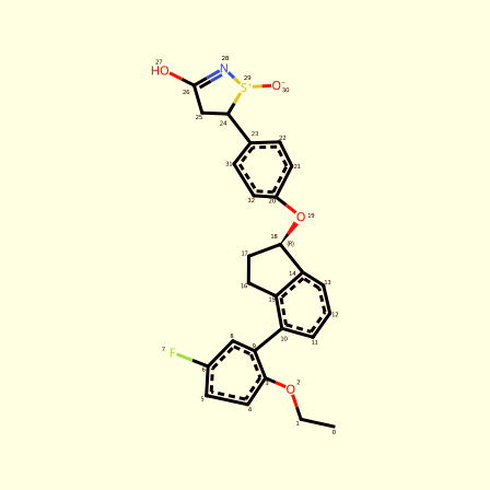 CCOc1ccc(F)cc1-c1cccc2c1CC[C@H]2Oc1ccc(C2CC(O)=N[S+]2[O-])cc1